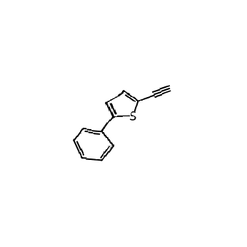 C#Cc1ccc(-c2ccccc2)s1